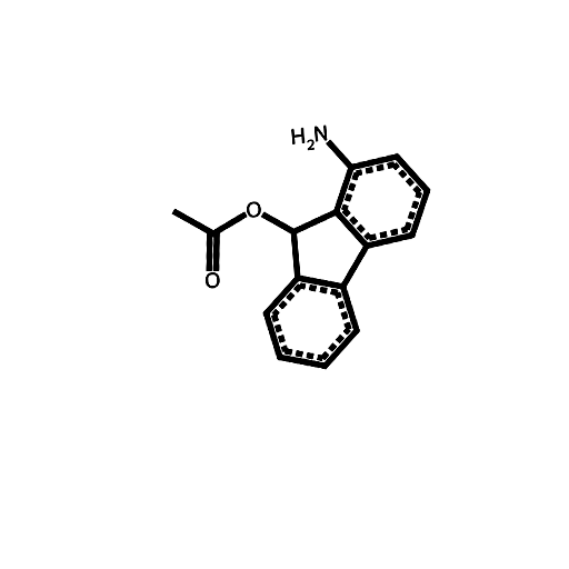 CC(=O)OC1c2ccccc2-c2cccc(N)c21